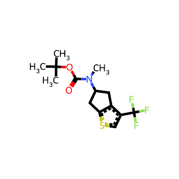 CN(C(=O)OC(C)(C)C)C1Cc2scc(C(F)(F)F)c2C1